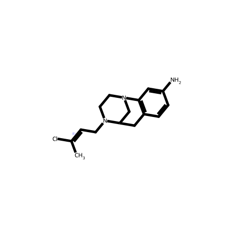 C/C(Cl)=C\CN1CCN2CC1Cc1ccc(N)cc12